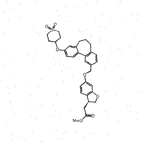 COC(=O)C[C@@H]1COc2cc(OCc3ccc4c(c3)-c3ccc(OC5CCS(=O)(=O)CC5)cc3CCC4)ccc21